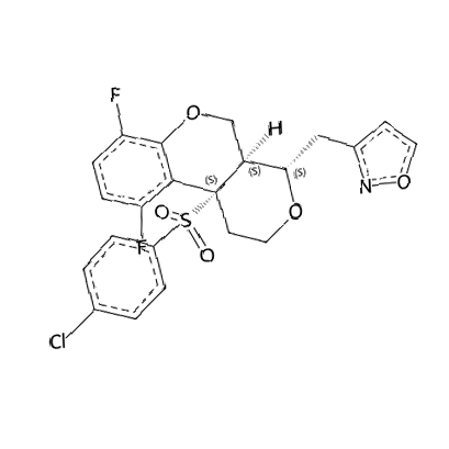 O=S(=O)(c1ccc(Cl)cc1)[C@@]12CCO[C@@H](Cc3ccon3)[C@@H]1COc1c(F)ccc(F)c12